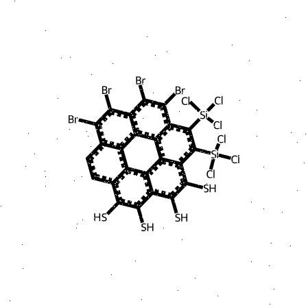 Sc1c(S)c2c(S)c(S)c3c([Si](Cl)(Cl)Cl)c([Si](Cl)(Cl)Cl)c4c(Br)c(Br)c5c(Br)c(Br)c6ccc1c1c6c5c4c3c21